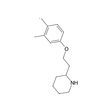 [CH2]c1ccc(OCCC2CCCCN2)cc1C